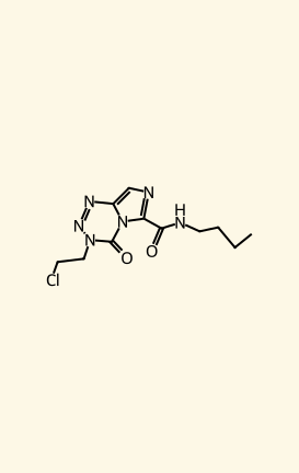 CCCCNC(=O)c1ncc2nnn(CCCl)c(=O)n12